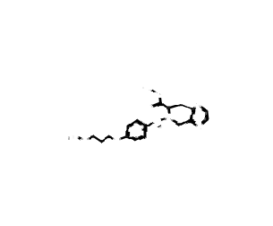 CCCCOCCCOc1ccc(S(=O)(=O)N2Cc3nccnc3CC2C(=O)NO)cc1